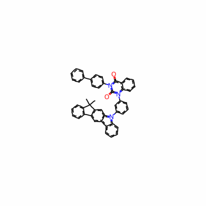 CC1(C)c2ccccc2-c2cc3c4ccccc4n(-c4cccc(-n5c(=O)n(-c6ccc(-c7ccccc7)cc6)c(=O)c6ccccc65)c4)c3cc21